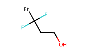 CCC(F)(F)CCO